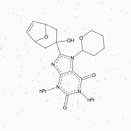 CCCn1c(=O)c2c(nc(C3(O)CC4C=CC(C3)O4)n2C2CCCCO2)n(CCC)c1=O